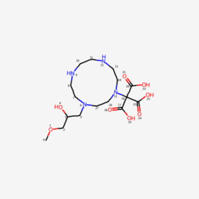 COCC(O)CN1CCNCCNCCN(C(C(=O)O)(C(=O)O)C(=O)O)CC1